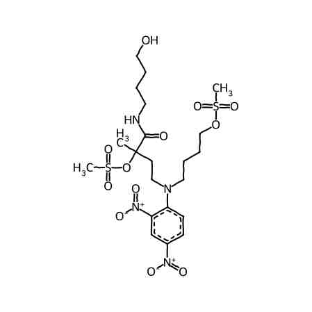 CC(CCN(CCCCOS(C)(=O)=O)c1ccc([N+](=O)[O-])cc1[N+](=O)[O-])(OS(C)(=O)=O)C(=O)NCCCCO